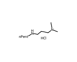 CCCCCNCCCN(C)C.Cl